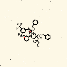 C[C@@H](OC[C@@]1(c2ccccc2)CC[C@@](COCc2ccccc2)(NC(=O)CCl)CN1C(=O)OCc1ccccc1)c1cc(C(F)(F)F)cc(C(F)(F)F)c1